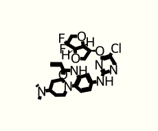 C=CC(=O)Nc1cc(Nc2ncc(Cl)c(O[C@H]3CO[C@@H]4[C@H]3OCC4(F)F)n2)ccc1N1CCC(N(C)C)CC1